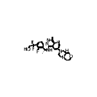 Cc1nnc(N[C@H](C)c2cccc(C(F)(F)CO)c2F)c2cc(N3CCN4CCOC[C@@H]4C3)cnc12